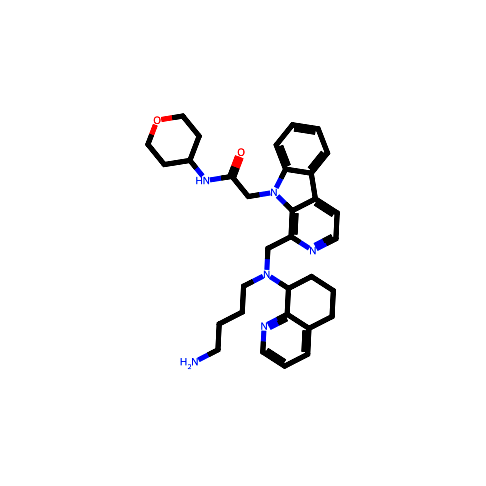 NCCCCN(Cc1nccc2c3ccccc3n(CC(=O)NC3CCOCC3)c12)C1CCCc2cccnc21